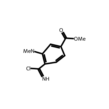 CNc1cc(C(=O)OC)ccc1C(=N)Cl